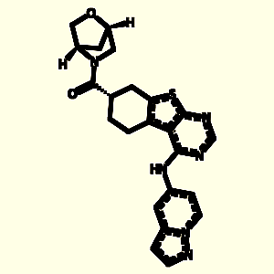 O=C([C@H]1CCc2c(sc3ncnc(Nc4ccn5nccc5c4)c23)C1)N1C[C@@H]2C[C@H]1CO2